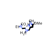 CCN(CCN(C)Cc1cc(OC)n(C)n1)C(=O)O